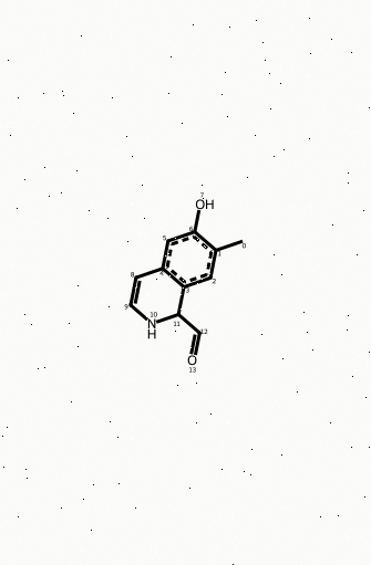 Cc1cc2c(cc1O)C=CNC2C=O